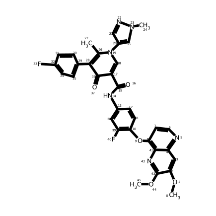 COc1cc2nccc(Oc3ccc(NC(=O)c4cn(-c5cnn(C)c5)c(C)c(-c5ccc(F)cc5)c4=O)cc3F)c2nc1OC